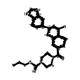 CCCOC(=O)N1CCN(C(=O)c2ccc3c(Cl)cc(-c4ccc5[nH]cnc5c4)nc3c2)CC1